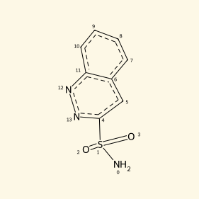 NS(=O)(=O)c1cc2ccccc2nn1